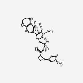 Cc1c(-c2cc3cc(NC(=O)C4CCN4c4cnn(C)c4)nnc3c(N)c2F)cnc2c1NCCO2